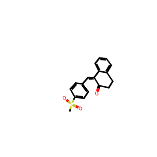 CS(=O)(=O)c1ccc(C=C2C(=O)CCc3ccccc32)cc1